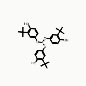 CC(C)(C)c1cc(OP(Oc2ccc(O)c(C(C)(C)C)c2)Oc2ccc(O)c(C(C)(C)C)c2)ccc1O